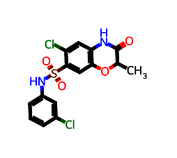 CC1Oc2cc(S(=O)(=O)Nc3cccc(Cl)c3)c(Cl)cc2NC1=O